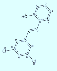 Oc1cccnc1/C=C/c1cc(Cl)cc(Cl)c1